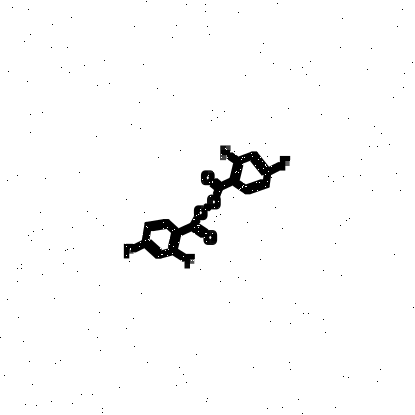 O=C(OOC(=O)c1ccc(F)cc1F)c1ccc(F)cc1F